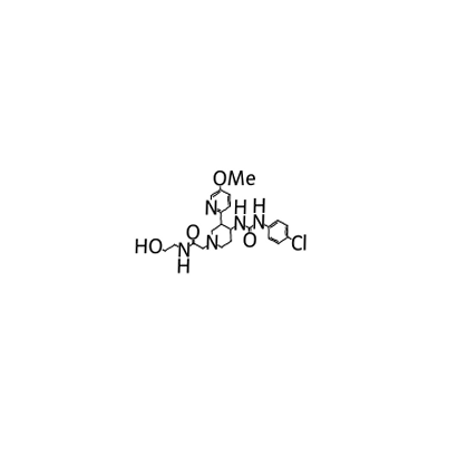 COc1ccc(C2CN(CC(=O)NCCO)CCC2NC(=O)Nc2ccc(Cl)cc2)nc1